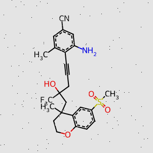 Cc1cc(C#N)cc(N)c1C#CCC(O)(CC1(C)CCOc2ccc(S(C)(=O)=O)cc21)C(F)(F)F